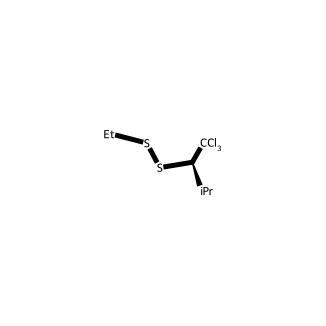 CCSS[C@H](C(C)C)C(Cl)(Cl)Cl